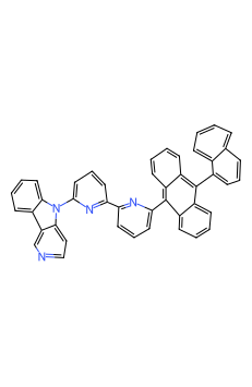 c1cc(-c2cccc(-n3c4ccccc4c4cnccc43)n2)nc(-c2c3ccccc3c(-c3cccc4ccccc34)c3ccccc23)c1